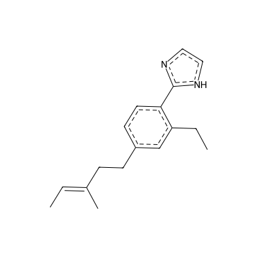 C/C=C(\C)CCc1ccc(-c2ncc[nH]2)c(CC)c1